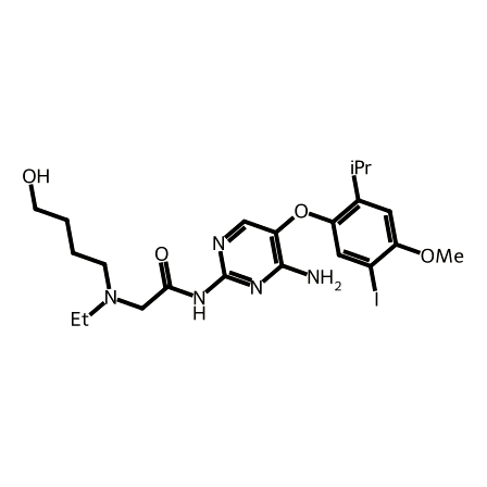 CCN(CCCCO)CC(=O)Nc1ncc(Oc2cc(I)c(OC)cc2C(C)C)c(N)n1